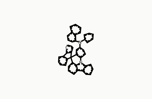 c1ccc(N(c2ccc3c(c2)C2(c4ccccc4-c4ccccc42)c2cccc4c5ccccc5n-3c24)c2cccc3ccccc23)cc1